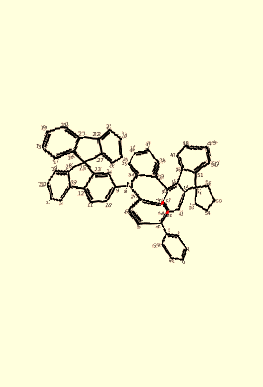 c1ccc(-c2ccc(N(c3ccc4c(c3)C3(c5ccccc5-c5ccccc53)c3ccccc3-4)c3ccccc3-c3cccc4c3-c3ccccc3C43CCCC3)cc2)cc1